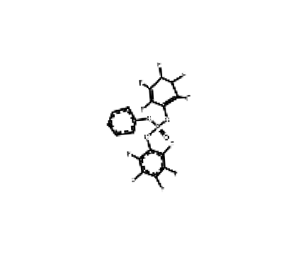 O=P(OC1=C(F)C(F)C(F)C(F)=C1F)(Oc1ccccc1)Oc1c(F)c(F)c(F)c(F)c1F